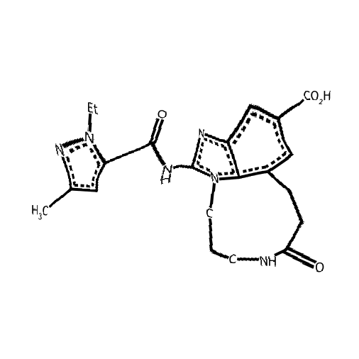 CCn1nc(C)cc1C(=O)Nc1nc2cc(C(=O)O)cc3c2n1CCCNC(=O)CC3